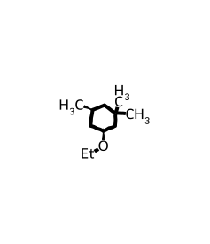 CCO[C@H]1C[C@@H](C)CC(C)(C)C1